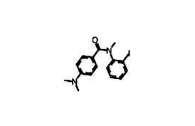 CN(C)c1ccc(C(=O)N(C)c2ccccc2I)cc1